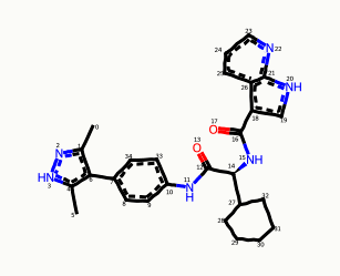 Cc1n[nH]c(C)c1-c1ccc(NC(=O)[C@@H](NC(=O)c2c[nH]c3ncccc23)C2CCCCC2)cc1